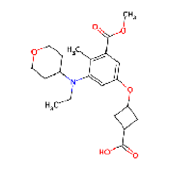 CCN(c1cc(OC2CC(C(=O)O)C2)cc(C(=O)OC)c1C)C1CCOCC1